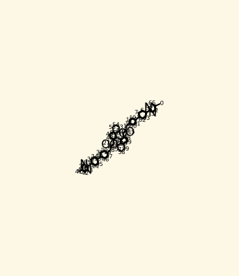 Cc1cnc(-c2ccc(-c3ccc(CC(=O)Oc4ccc5c(c4-c4c(OC(=O)Cc6ccc(-c7ccc(-c8ncc(C)cn8)cc7)cc6)ccc6c4CCCC6)CCCC5)cc3)cc2)nc1